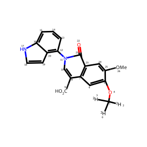 [2H]C([2H])([2H])Oc1cc2c(C(=O)O)cn(-c3cccc4[nH]ccc34)c(=O)c2cc1OC